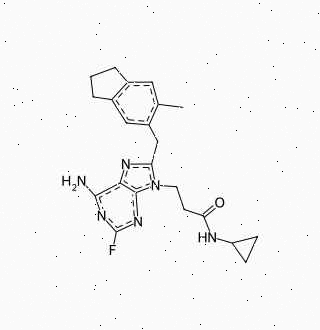 Cc1cc2c(cc1Cc1nc3c(N)nc(F)nc3n1CCC(=O)NC1CC1)CCC2